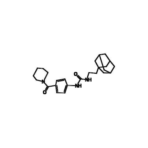 O=C(NCCC12CC3CC(CC(C3)C1)C2)Nc1ccc(C(=O)N2CCCCC2)cc1